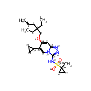 C=CCC(CC)(CC)COc1cc2nnc(NS(=O)(=O)C3(C)CC3)n2cc1C1CC1